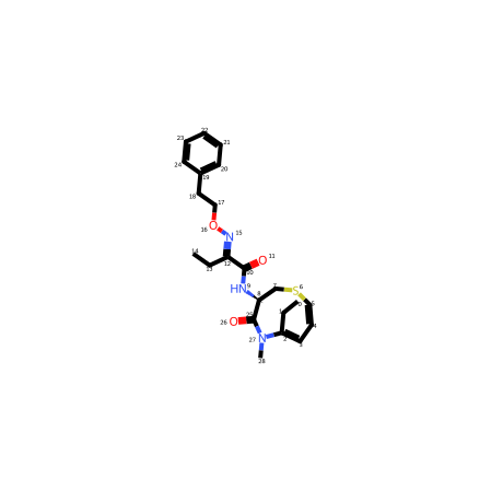 CC/C1=C\C=C/SC[C@H](NC(=O)/C(CC)=N/OCCc2ccccc2)C(=O)N1C